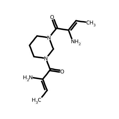 CC=C(N)C(=O)N1CCCN(C(=O)C(N)=CC)C1